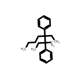 CCCCC(CC)(c1ccccc1)C(C)(CC)c1ccccc1